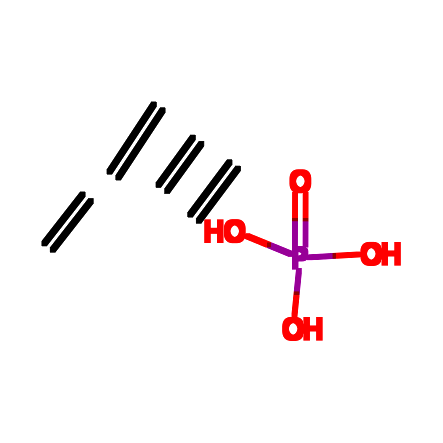 C=C.C=C.C=C.C=C.O=P(O)(O)O